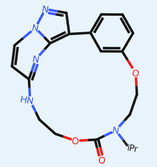 CC(C)N1CCOc2cccc(c2)-c2cnn3ccc(nc23)NCCOC1=O